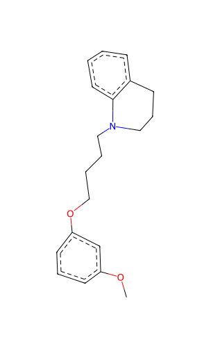 COc1cccc(OCCCCN2CCCc3ccccc32)c1